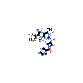 Cc1nc(NC2CN(C(=O)c3cnccn3)C2)nc2c1NC(=O)[C@H](C(C)C)N2C